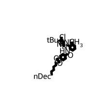 CCCCCCCCCCCCCCCCS(=O)(=O)c1ccc(C(=O)Nc2cccc(C)c2-c2nn3nc(C(C)(C)C)c(Cl)c3[nH]2)cc1